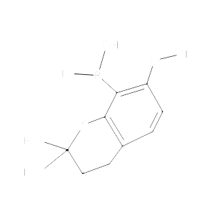 COc1ccc2c(c1B(O)O)SC(C)(C)CC2